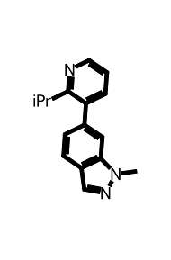 CC(C)c1ncccc1-c1ccc2cnn(C)c2c1